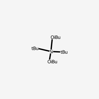 CC(C)CO[Si](OCC(C)C)(C(C)(C)C)C(C)(C)C